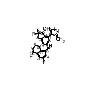 Cn1nccc1-c1ccc([C@H]2CC[C@H](F)c3cc(F)cc(C#N)c32)c2c1[C@H](O)C(F)(F)C2